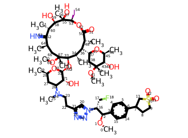 CO[C@H](c1ccc(C2CCS(=O)(=O)C2)cc1)[C@@H](CF)n1cc(CCN(C)[C@H]2C[C@@H](C)O[C@@H](O[C@@H]3[C@@H](C)C([C@H]4C[C@@](C)(OC)[C@@H](O)[C@H](C)O4)[C@@H](C)C(=O)O[C@H](I)[C@@](C)(O)[C@H](O)[C@@H](C)C(=N)[C@H](C)C[C@@]3(C)OC)[C@@H]2O)nn1